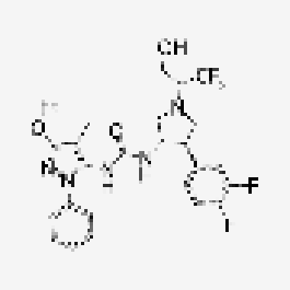 CCOc1nn(-c2ccccc2)c(NC(=O)N[C@@H]2CN(C(CO)C(F)(F)F)C[C@H]2c2ccc(F)c(F)c2)c1C